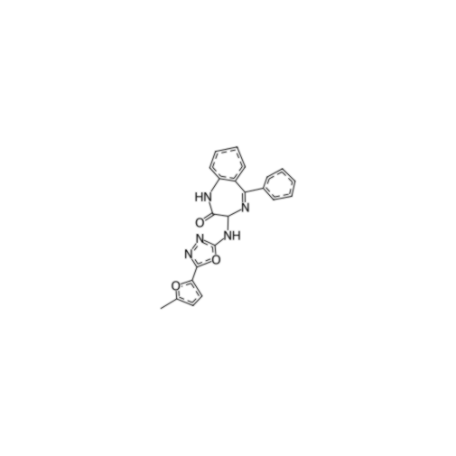 Cc1ccc(-c2nnc(NC3N=C(c4ccccc4)c4ccccc4NC3=O)o2)o1